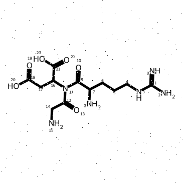 N=C(N)NCCCC(N)C(=O)N(C(=O)CN)C(CC(=O)O)C(=O)O